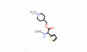 CN1CCC(COC(=O)C(NC=O)c2cccs2)CC1